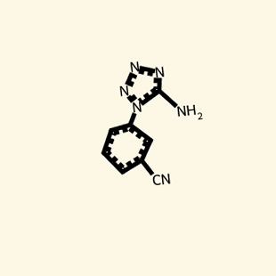 N#Cc1cccc(-n2nnnc2N)c1